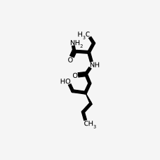 CCC[C@@H](CO)CC(=O)NC(CC)C(N)=O